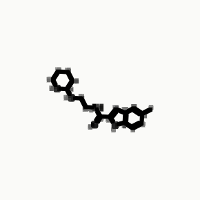 Cc1ccc2oc(C(=O)NCCOC3CCCCO3)cc2c1